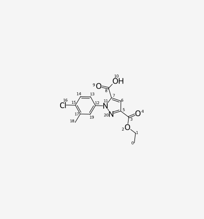 CCOC(=O)c1cc(C(=O)O)n(-c2ccc(Cl)c(C)c2)n1